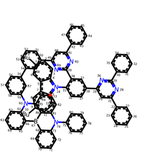 CC(C)(C)c1ccc2c(c1)c1cc(C(C)(C)C)ccc1n2-c1ccc(-c2cc(-c3ccccc3)nc(-c3ccccc3)n2)cc1-c1nc(-c2ccccc2)cc(-c2cccc(-c3cccc(N4c5ccccc5B5c6ccccc6N(c6ccccc6)c6cccc4c65)c3)c2)n1